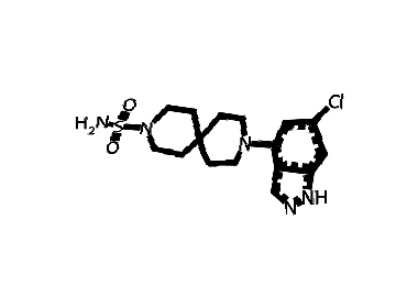 NS(=O)(=O)N1CCC2(CCN(c3cc(Cl)cc4[nH]ncc34)CC2)CC1